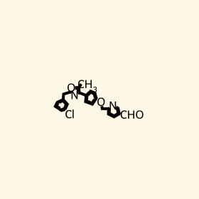 Cc1oc(Cc2cccc(Cl)c2)nc1-c1ccc(OCc2ccc(C=O)cn2)cc1